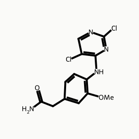 COc1cc(CC(N)=O)ccc1Nc1nc(Cl)ncc1Cl